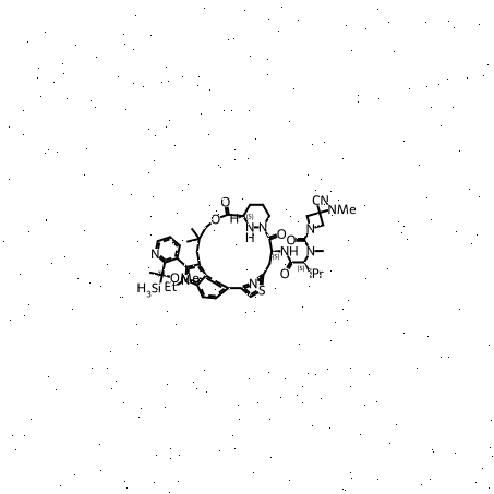 CCn1c(-c2cccnc2[C@@](C)([SiH3])OC)c2c3cc(ccc31)-c1csc(n1)C[C@H](NC(=O)[C@H](C(C)C)N(C)C(=O)N1CC(C#N)(NC)C1)C(=O)N1CCC[C@H](N1)C(=O)OCC(C)(C)C2